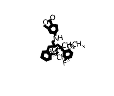 COc1ccccc1CC(O)(CNc1ccc2c(c1)COC2=O)CC(C)(C)c1cc(F)ccc1OC